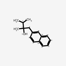 CC(C)C(C)(O)Cc1ccc2ccccc2c1